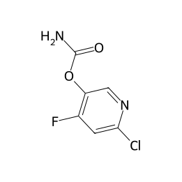 NC(=O)Oc1cnc(Cl)cc1F